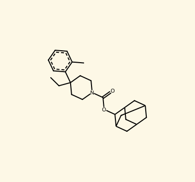 CCC1(c2ccccc2C)CCN(C(=O)OC2C3CC4CC(C3)CC2C4)CC1